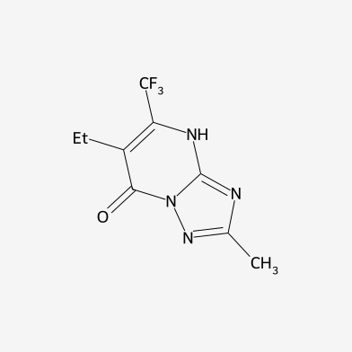 CCc1c(C(F)(F)F)[nH]c2nc(C)nn2c1=O